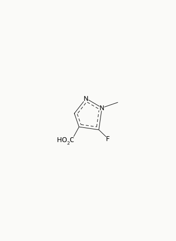 Cn1ncc(C(=O)O)c1F